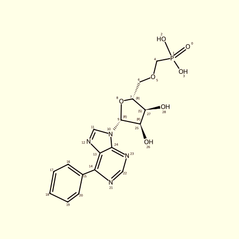 O=P(O)(O)COC[C@H]1O[C@@H](n2cnc3c(-c4ccccc4)ncnc32)[C@H](O)[C@@H]1O